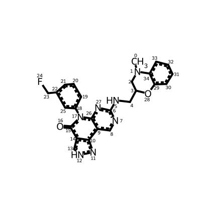 CN1CC(CNc2ncc3c4n[nH]cc4c(=O)n(-c4cccc(CF)c4)c3n2)Oc2ccccc21